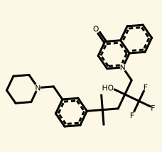 CC(C)(CC(O)(Cn1ccc(=O)c2ccccc21)C(F)(F)F)c1cccc(CN2CCCCC2)c1